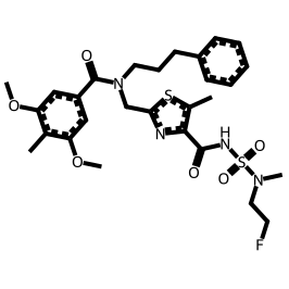 COc1cc(C(=O)N(CCCc2ccccc2)Cc2nc(C(=O)NS(=O)(=O)N(C)CCF)c(C)s2)cc(OC)c1C